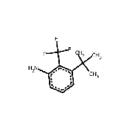 CC(C)(C)c1cccc(N)c1C(F)(F)F